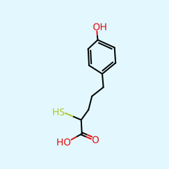 O=C(O)C(S)CCCc1ccc(O)cc1